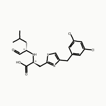 CC(C)C[C@@H](C=O)N[C@@H](Cc1nc(Cc2cc(Cl)cc(Cl)c2)cs1)C(=O)O